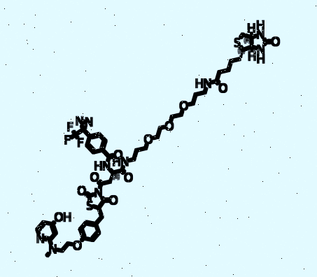 CN(CCOc1ccc(CC2SC(=O)N(C(=O)C[C@@H](NC(=O)c3ccc(C4(C(F)(F)F)N=N4)cc3)C(=O)NCCCOCCOCCOCCCNC(=O)CCCC[C@@H]3SC[C@@H]4NC(=O)N[C@@H]43)C2=O)cc1)c1cc(O)ccn1